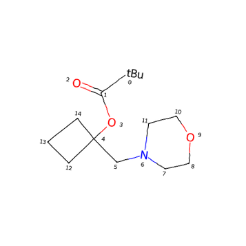 CC(C)(C)C(=O)OC1(CN2CCOCC2)CCC1